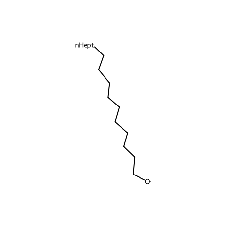 CCCCCCCCCCCCCCCCC[O]